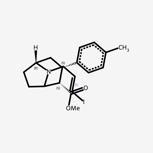 COC(=O)[C@@H]1C2CC[C@H](C[C@@H]1c1ccc(C)cc1)N2C/C=C/I